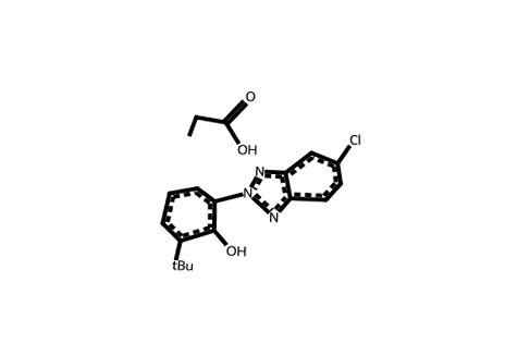 CC(C)(C)c1cccc(-n2nc3ccc(Cl)cc3n2)c1O.CCC(=O)O